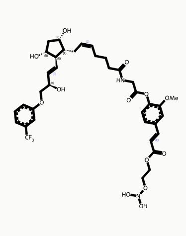 COc1cc(/C=C/C(=O)OCCON(O)O)ccc1OC(=O)CNC(=O)CCC/C=C\C[C@@H]1[C@@H](/C=C/[C@@H](O)COc2cccc(C(F)(F)F)c2)[C@H](O)C[C@@H]1O